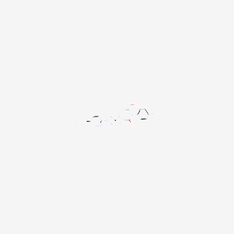 C=C/C=C\C(=N/C)N1CC2(CN(C(=O)N3c4ccc(Cl)cc4OCC3C)C2)C1